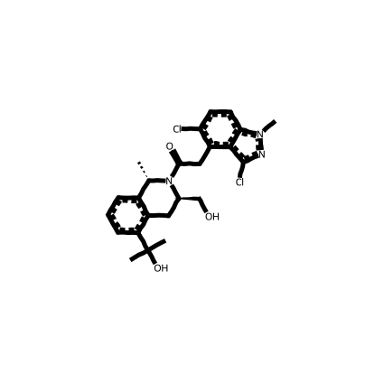 C[C@H]1c2cccc(C(C)(C)O)c2C[C@H](CO)N1C(=O)Cc1c(Cl)ccc2c1c(Cl)nn2C